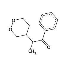 CC(C(=O)c1ccccc1)C1CCOOC1